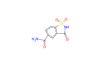 NC(=O)c1ccc2c(c1)C(=O)NS2(=O)=O